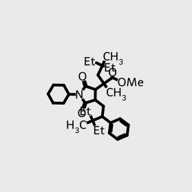 CCC(C)(CC)CC(C)(C(=O)OC)C1C(=O)N(C2CCCCC2)C(=O)C1CC(c1ccccc1)C(C)(CC)CC